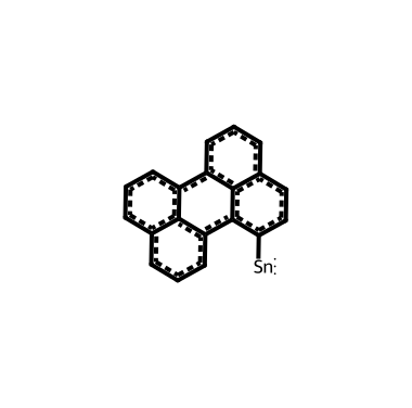 [Sn][c]1ccc2cccc3c4cccc5cccc(c1c23)c54